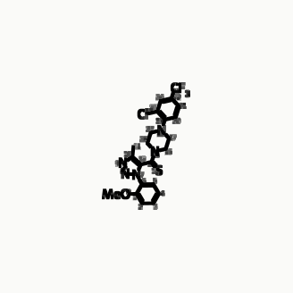 COc1ccccc1-n1nnc(C)c1C(=S)N1CCN(c2ccc(C(F)(F)F)cc2Cl)CC1